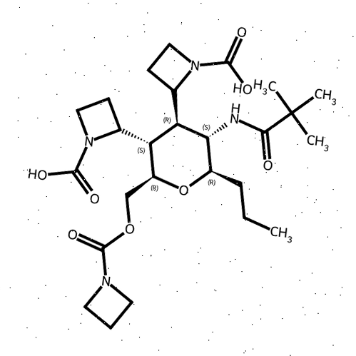 CCC[C@H]1O[C@@H](COC(=O)N2CCC2)[C@H](C2CCN2C(=O)O)[C@@H](C2CCN2C(=O)O)[C@@H]1NC(=O)C(C)(C)C